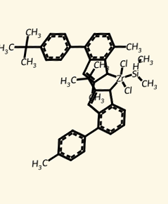 CC1=Cc2c(-c3ccc(C(C)(C)C)cc3)ccc(C)c2[CH]1[Zr]([Cl])([Cl])([CH]1C(C(C)C)=Cc2c(-c3ccc(C)cc3)cccc21)[SiH](C)C